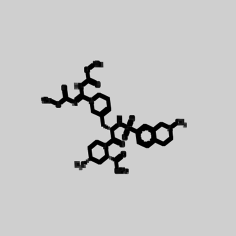 COC(=O)[C@@H]1C[C@H](C)CCN1C(=O)[C@H](CC1=CCCN(C(=NC(=O)OC(C)(C)C)NC(=O)OC(C)(C)C)C1)NS(=O)(=O)c1ccc2c(c1)CN(C)CC2